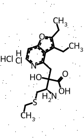 CCSC[C@H](N)C(O)(Cc1nccc2oc(CC)c(CC)c12)C(=O)O.Cl.Cl